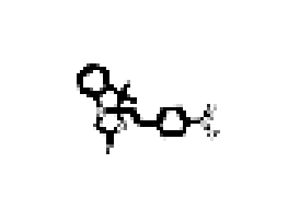 CC1(C)c2ccccc2N2CC(=O)OC21C=Cc1ccc([N+](=O)[O-])cc1